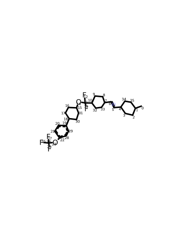 CC1CCC(/C=C/C2CCC(C(F)(F)OC3CCC(c4ccc(OC(F)(F)F)cc4)CC3)CC2)CC1